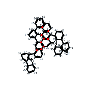 Brc1cccc(N(c2cc(-c3ccc4c(c3)c3cccc5c6ccccc6n4c53)cc(N(c3cccc(Br)c3)c3c(-c4ccccc4)cccc3-c3ccccc3)c2)c2c(-c3ccccc3)cccc2-c2ccccc2)c1